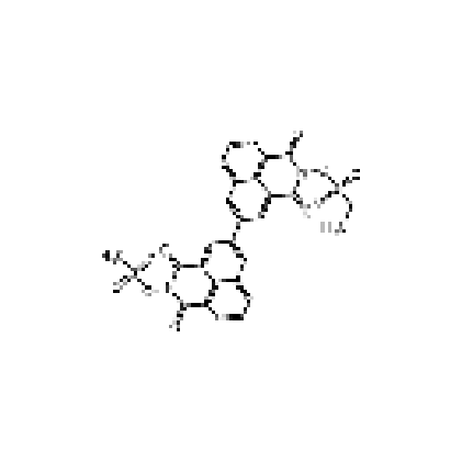 CCS(=O)(=O)ON1C(=O)c2cccc3cc(-c4cc5c6c(cccc6c4)C(=O)N(OS(C)(=O)=O)C5=O)cc(c23)C1=O